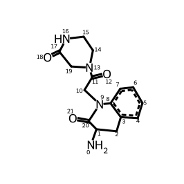 NC1Cc2ccccc2N(CC(=O)N2CCNC(=O)C2)C1=O